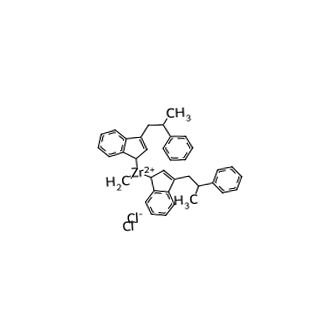 [CH2]=[Zr+2]([CH]1C=C(CC(C)c2ccccc2)c2ccccc21)[CH]1C=C(CC(C)c2ccccc2)c2ccccc21.[Cl-].[Cl-]